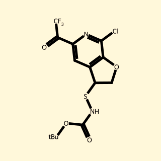 CC(C)(C)OC(=O)NSC1COc2c1cc(C(=O)C(F)(F)F)nc2Cl